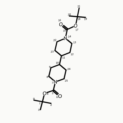 CC(C)(C)OC(=O)N1CCC(C2CCN(C(=O)OC(C)(C)C)CC2)CC1